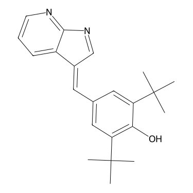 CC(C)(C)c1cc(C=C2C=Nc3ncccc32)cc(C(C)(C)C)c1O